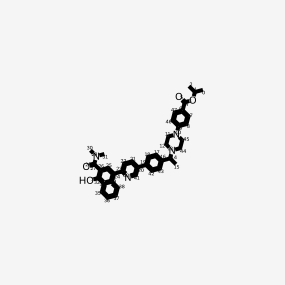 CC(C)OC(=O)c1ccc(N2CCN(C(C)c3ccc(-c4ccc(-c5cc(C(=O)N(C)C)c(O)c6ccccc56)nc4)cc3)CC2)cc1